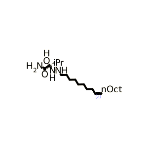 CCCCCCCC/C=C\CCCCCCCCNN[C@](O)(C(N)=O)C(C)C